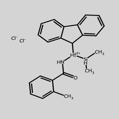 Cc1ccccc1C(=O)[NH][Hf+2]([CH]1c2ccccc2-c2ccccc21)[SiH](C)C.[Cl-].[Cl-]